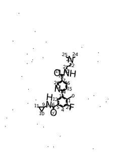 Cc1c(F)cc(C(=O)NC2CC2)cc1-c1ccc(C(=O)NCCN(C)C)cn1